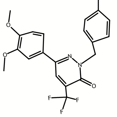 COc1ccc(-c2cc(C(F)(F)F)c(=O)n(Cc3ccc(C)cc3)n2)cc1OC